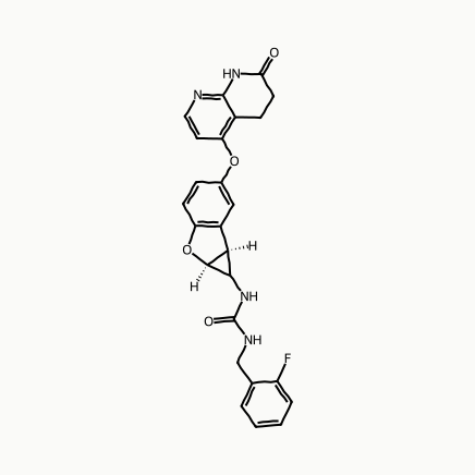 O=C1CCc2c(Oc3ccc4c(c3)[C@H]3C(NC(=O)NCc5ccccc5F)[C@H]3O4)ccnc2N1